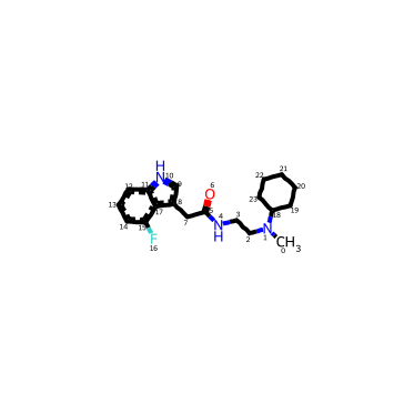 CN(CCNC(=O)Cc1c[nH]c2cccc(F)c12)C1CCCCC1